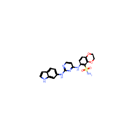 NS(=O)(=O)c1c(Nc2ccnc(Nc3ccc4cc[nH]c4c3)n2)ccc2c1OCCO2